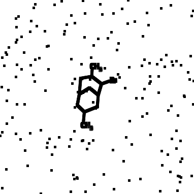 CC1CC2CC(C)C(Br)C(C1)C2